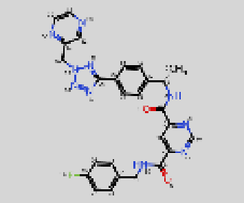 C[C@H](NC(=O)c1cc(C(=O)NCc2ccc(F)cc2)ncn1)c1ccc(-c2nnn(Cc3cnccn3)n2)cc1